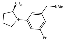 CNCc1cc(Br)cc(N2CCC[C@H]2C)c1